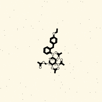 CCOc1ccc(Cc2ccccc2O[C@H]2S[C@@H](COC(C)=O)[C@@H](OC(C)=O)[C@H](OC(C)=O)[C@H]2OC(C)=O)cc1